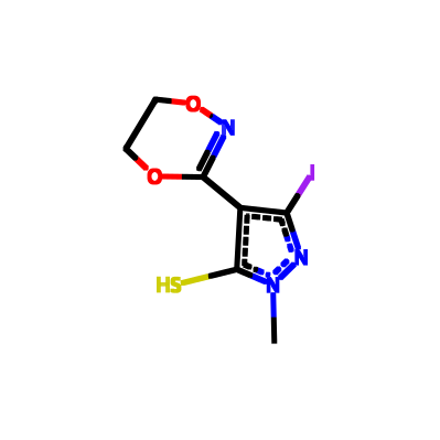 Cn1nc(I)c(C2=NOCCO2)c1S